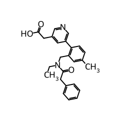 CCN(Cc1cc(C)ccc1-c1cncc(CC(=O)O)c1)C(=O)Cc1ccccc1